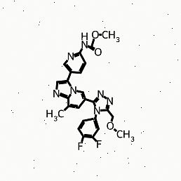 COCc1nnc(-c2cc(C)c3ncc(-c4ccc(NC(=O)OC)nc4)n3c2)n1-c1ccc(F)c(F)c1